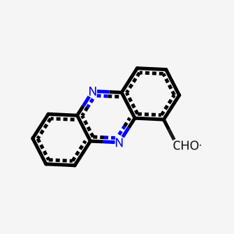 O=[C]c1cccc2nc3ccccc3nc12